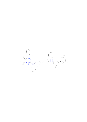 C1=C(c2ccc3c(c2)c2ccccc2n3-c2nc(-c3ccccc3)c3ccccc3n2)CC2C(=C1)N(c1cccc(-c3ccccc3)c1)c1ccccc12